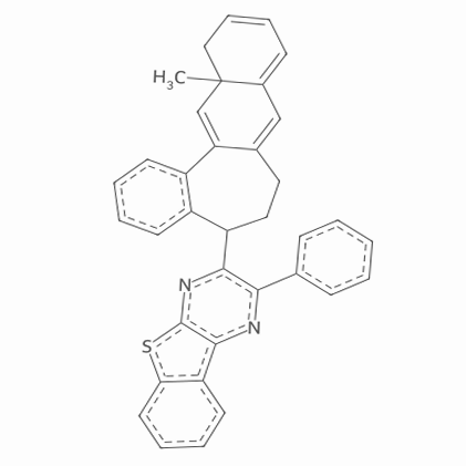 CC12C=C3C(=CC1=CC=CC2)CCC(c1nc2sc4ccccc4c2nc1-c1ccccc1)c1ccccc13